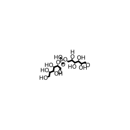 O=C[C@@H](O)[C@@H](O)[C@H](O)[C@H](O)COP(=O)(O)O[C@H](C=O)[C@@H](O)[C@H](O)[C@H](O)CO